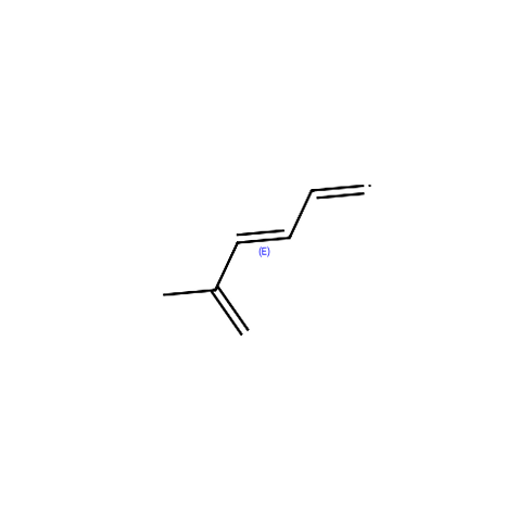 [CH]=C/C=C/C(=C)C